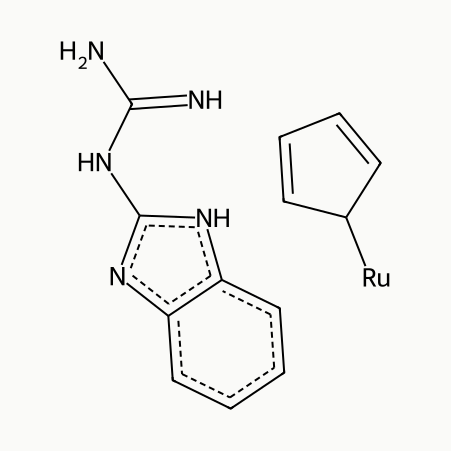 N=C(N)Nc1nc2ccccc2[nH]1.[Ru][CH]1C=CC=C1